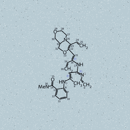 C=C/N=C(\C=C(/C)Nc1ccccc1C(=O)NC)N/C(C=C)=C/C1=C(C=C)N2CCOCC2CO1